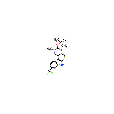 CN(CC1CCSc2[nH]c3cc(C(F)(F)F)ccc3c21)C(=O)OC(C)(C)C